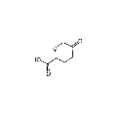 O=C1CCC(C(=O)O)OC1